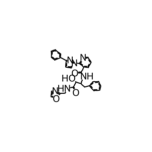 O=C(NC(Cc1ccccc1)C(O)C(=O)NCc1ncco1)c1cccnc1-n1ccc(-c2ccccc2)n1